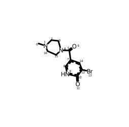 CN1CCN(C(=O)c2c[nH]c(=O)c(Br)c2)CC1